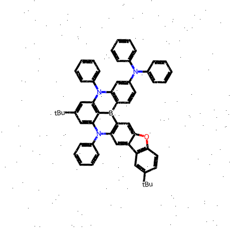 CC(C)(C)c1cc2c3c(c1)N(c1ccccc1)c1cc4c(cc1B3c1ccc(N(c3ccccc3)c3ccccc3)cc1N2c1ccccc1)oc1ccc(C(C)(C)C)cc14